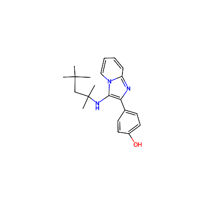 CC(C)(C)CC(C)(C)Nc1c(-c2ccc(O)cc2)nc2ccccn12